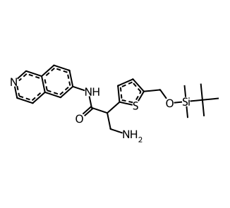 CC(C)(C)[Si](C)(C)OCc1ccc(C(CN)C(=O)Nc2ccc3cnccc3c2)s1